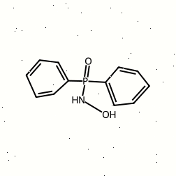 O=P(NO)(c1ccccc1)c1ccccc1